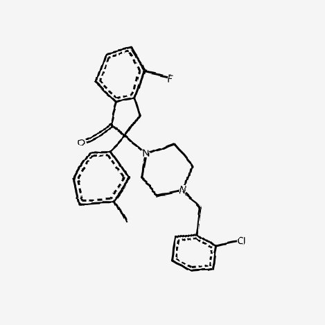 Cc1cccc(C2(N3CCN(Cc4ccccc4Cl)CC3)Cc3c(F)cccc3C2=O)c1